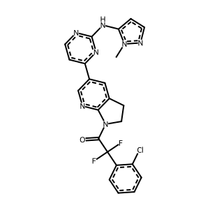 Cn1nccc1Nc1nccc(-c2cnc3c(c2)CCN3C(=O)C(F)(F)c2ccccc2Cl)n1